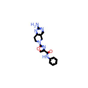 Nc1ncc2c(n1)CCN(c1nc(C(=O)Nc3ccccc3)co1)C2